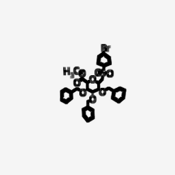 COC(=O)C1OC(CS(=O)(=O)c2ccc(Br)cc2)[C@@H](OCc2ccccc2)[C@H](OCc2ccccc2)[C@@H]1OCc1ccccc1